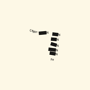 C#N.C#N.C#N.C#N.C#N.C#N.[Ce].[Fe].[Mn]